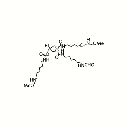 CCC(COC(=O)NCCCCCCNC=O)(COC(=O)NCCCCCCNCOC)COC(=O)NCCCCCCNCOC